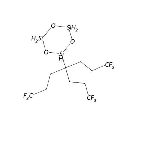 FC(F)(F)CCC(CCC(F)(F)F)(CCC(F)(F)F)[SiH]1O[SiH2]O[SiH2]O1